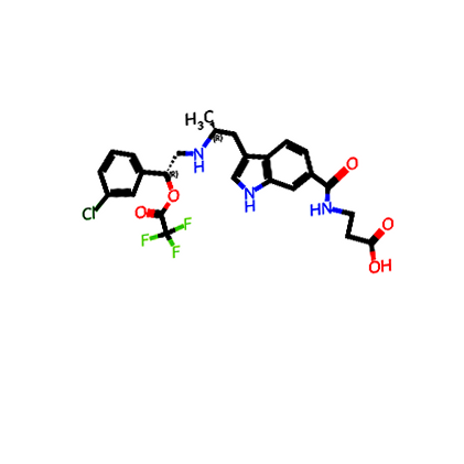 C[C@H](Cc1c[nH]c2cc(C(=O)NCCC(=O)O)ccc12)NC[C@H](OC(=O)C(F)(F)F)c1cccc(Cl)c1